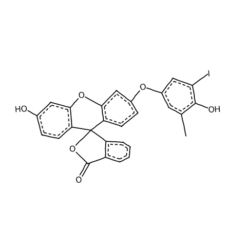 Cc1cc(Oc2ccc3c(c2)Oc2cc(O)ccc2C32OC(=O)c3ccccc32)cc(I)c1O